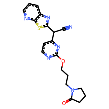 N#CC(c1ccnc(OCCCN2CCCC2=O)n1)c1nc2cccnc2s1